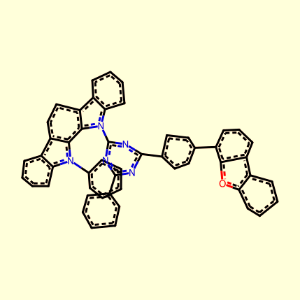 c1ccc(-c2nc(-c3ccc(-c4cccc5c4oc4ccccc45)cc3)nc(-n3c4ccccc4c4ccc5c6ccccc6n(-c6ccccc6)c5c43)n2)cc1